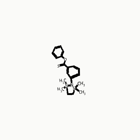 C[Si]1(C)CC[Si](C)(C)N1c1cccc(C(=S)Oc2ccccc2)c1